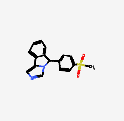 CS(=O)(=O)c1ccc(C2c3ccccc3-c3cncn32)cc1